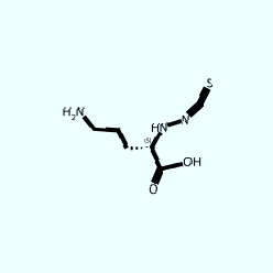 NCCC[C@H](NN=C=S)C(=O)O